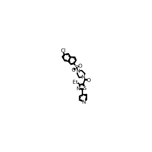 CCc1nc(-c2ccncc2)sc1C(=O)N1CCN(S(=O)(=O)c2ccc3cc(Cl)ccc3c2)CC1